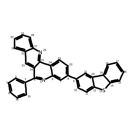 c1ccc(-c2nc3cc(-c4ccc5sc6ccccc6c5c4)ccc3c3nc4ccccc4cc23)cc1